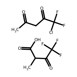 CC(=O)CC(=O)C(F)(F)Cl.CC(C(=O)O)C(=O)C(F)(F)F